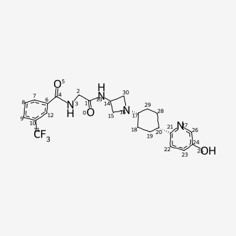 O=C(CNC(=O)c1cccc(C(F)(F)F)c1)NC1CN([C@H]2CC[C@@H](c3ccc(O)cn3)CC2)C1